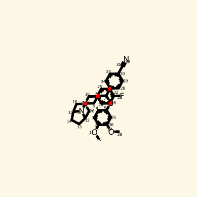 COc1ccc(OC(CCCN2C3CCC2CN(Cc2ccc(F)cc2)C3)c2ccc(C#N)cc2)cc1OC